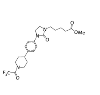 COC(=O)CCCCN1CCN(c2ccc(C3CCN(C(=O)C(F)(F)F)CC3)cc2)C1=O